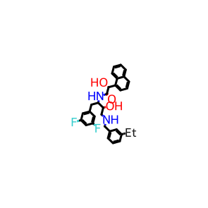 CCc1cccc(CNCC(O)C(Cc2cc(F)cc(F)c2)NC(=O)[C@@H](O)c2cccc3ccccc23)c1